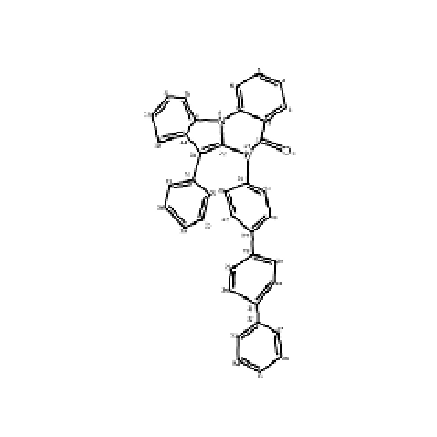 O=c1c2ccccc2n2c3ccccc3c(-c3ccccc3)c2n1-c1ccc(-c2ccc(-c3ccccc3)cc2)cc1